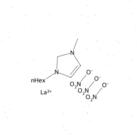 CCCCCCN1C=CN(C)C1.O=[N+]([O-])[O-].O=[N+]([O-])[O-].O=[N+]([O-])[O-].[La+3]